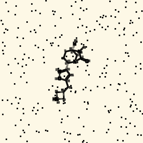 CN1C(=O)N2C[C@H]1CC[C@H]2c1cc(CC2CNC2)on1